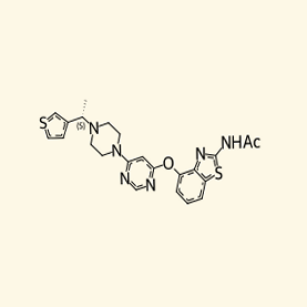 CC(=O)Nc1nc2c(Oc3cc(N4CCN([C@@H](C)c5ccsc5)CC4)ncn3)cccc2s1